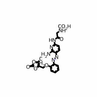 Cc1oc(=O)oc1COc1ccccc1/N=N/c1ccc(NC(=O)CNC(=O)O)nc1N